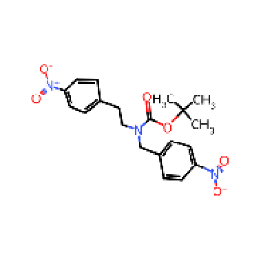 CC(C)(C)OC(=O)N(CCc1ccc([N+](=O)[O-])cc1)Cc1ccc([N+](=O)[O-])cc1